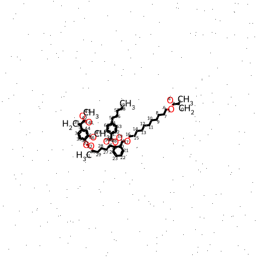 C=C(C)C(=O)OCCCCCCCCCCCOC(=O)C1C=CC=CC1(CCCCC(C)OOc1ccc(C(=C)C(=O)OC)cc1OC)OC(=O)c1ccc(CCCCC)cc1